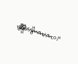 O=C(O)CCOCCOCCOCCCNC(=O)CCCC[C@@H]1SC[C@@H]2NC(=O)N[C@@H]21